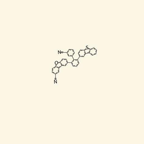 N#Cc1cccc(-c2c(-c3ccc4oc5ccc(C#N)cc5c4c3)cccc2-c2ccc3sc4ccccc4c3c2)c1